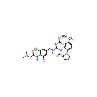 CN(C)CC(=O)Nc1c(Cl)cc(CNC(=NC(=O)OC(C)(C)C)NC(=O)[C@H]2CCCN2c2ccc(C(F)(F)F)cc2)cc1Cl